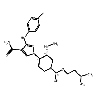 CN(C)CCO[C@@H](O)N1CC[C@@H](n2cc(C(N)=O)c(Nc3ccc(F)cc3)n2)[C@H](NN)C1